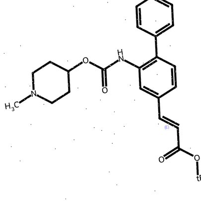 CN1CCC(OC(=O)Nc2cc(/C=C/C(=O)OC(C)(C)C)ccc2-c2ccccc2)CC1